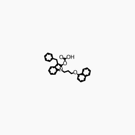 O=C(O)Oc1c(Cc2ccccc2)c2ccccc2n1CCCOc1cccc2ccccc12